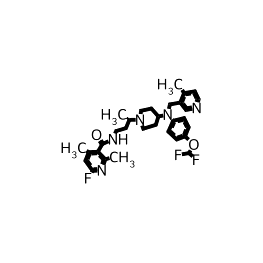 Cc1ccncc1CN(c1ccc(OC(F)F)cc1)C1CCN([C@H](C)CCNC(=O)c2c(C)cc(F)nc2C)CC1